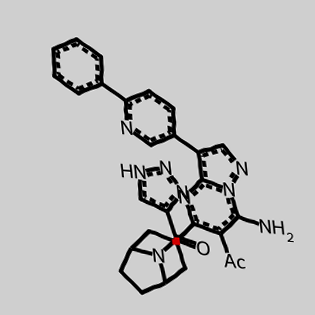 CC(=O)c1c(C2CC3CCC(C2)N3C(=O)c2c[nH]nn2)nc2c(-c3ccc(-c4ccccc4)nc3)cnn2c1N